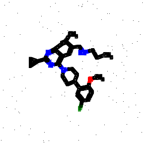 CCCNCc1cc2c(N3CCC(c4cc(F)ccc4OC)CC3)nc(C3CC3)nc2cc1C